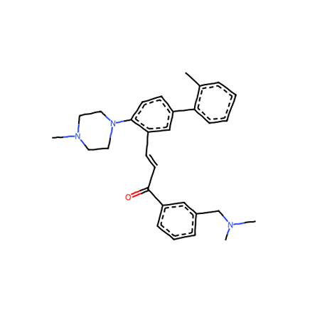 Cc1ccccc1-c1ccc(N2CCN(C)CC2)c(C=CC(=O)c2cccc(CN(C)C)c2)c1